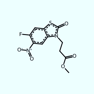 COC(=O)CCn1c(=O)sc2cc(F)c([N+](=O)[O-])cc21